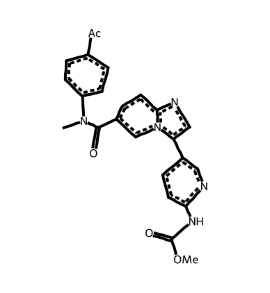 COC(=O)Nc1ccc(-c2cnc3ccc(C(=O)N(C)c4ccc(C(C)=O)cc4)cn23)cn1